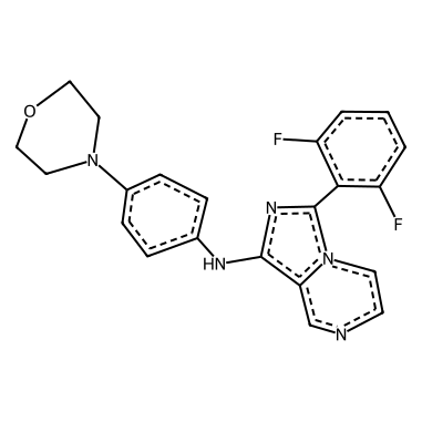 Fc1cccc(F)c1-c1nc(Nc2ccc(N3CCOCC3)cc2)c2cnccn12